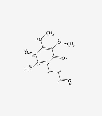 COC1=C(OC)C(=O)C(CCC=O)=C(C)C1=O